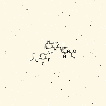 C=CC(=O)N1C[C@@H]2C[C@H]1CN2c1ncc2ncnc(Nc3ccc(OC(F)F)c(Cl)c3F)c2n1